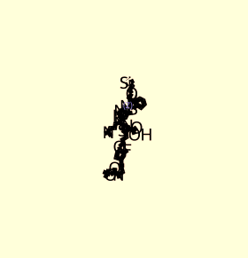 Cc1cc(N(CCCN(C)C)c2nc(C(=O)O)c(CCCOc3ccc(C#CCN(C)C(=O)OC(C)(C)C)cc3F)s2)nnc1/N=c1\sc2ccccc2n1COCC[Si](C)(C)C